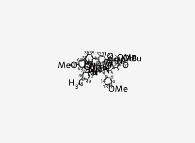 COc1ccc(CN(Cc2ccc(OC)cc2)S(=O)(=O)c2c(S(=O)(=O)C3CN(C(=O)OC(C)(C)C)C3)ccc(-c3cccnc3NS(=O)(=O)c3ccc(C)cc3)c2-c2nnnn2Cc2ccc(OC)cc2)cc1